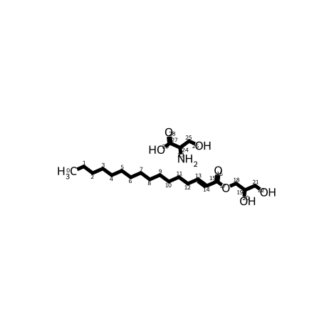 CCCCCCCCCCCCC/C=C/C(=O)OCC(O)CO.NC(CO)C(=O)O